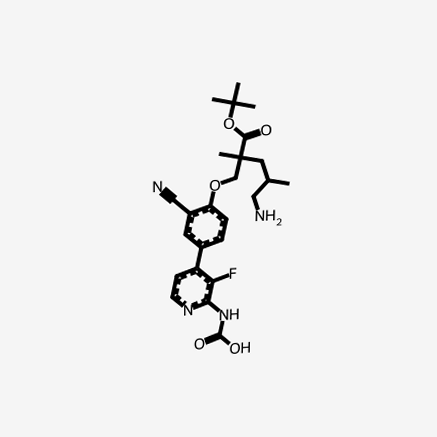 CC(CN)CC(C)(COc1ccc(-c2ccnc(NC(=O)O)c2F)cc1C#N)C(=O)OC(C)(C)C